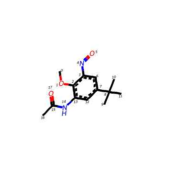 COc1c(N=O)cc(C(C)(C)C)cc1NC(C)=O